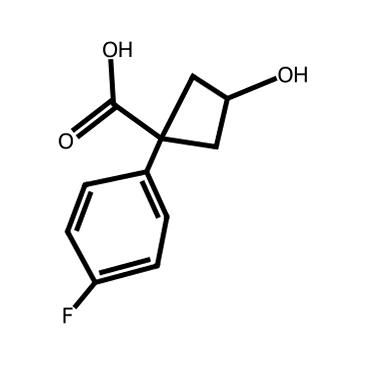 O=C(O)C1(c2ccc(F)cc2)CC(O)C1